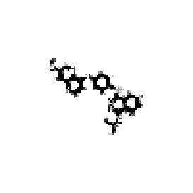 COc1cnc2c(Oc3ccc(Nc4nnc(OC(C)C)c5ccccc45)cc3)ccnc2c1